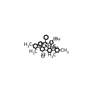 CCCCC1C=C(C(C)(C)C)C=[C]1[Zr+2](=[C](c1ccccc1)c1ccccc1)[CH]1c2cc(-c3c(C)cc(C)cc3C)ccc2-c2ccc(-c3c(C)cc(C)cc3C)cc21.[Cl-].[Cl-]